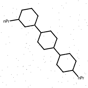 CCCC1CCC(C2CCC(C3CCCC(CCC)C3)CC2)CC1